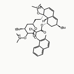 CCC(Oc1c(C)ccc2ccccc12)C(=O)O[C@H]1C[C@H](C(C)(C)C)C=C2C=C[C@H](C)[C@](CC[C@@H]3C[C@H](C(C)(C)C)C(O[SiH](C)C)C(=O)O3)(O[SiH](C)C)[C@H]21